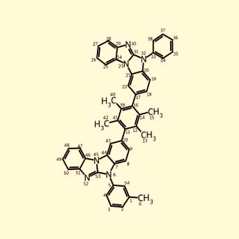 Cc1cccc(-n2c3ccc(-c4c(C)c(C)c(-c5ccc6c(c5)n5c7ccccc7nc5n6-c5ccccc5)c(C)c4C)cc3n3c4ccccc4nc23)c1